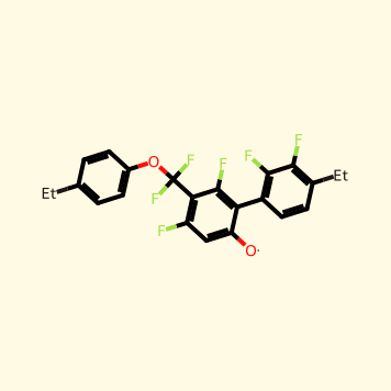 CCc1ccc(OC(F)(F)c2c(F)cc([O])c(-c3ccc(CC)c(F)c3F)c2F)cc1